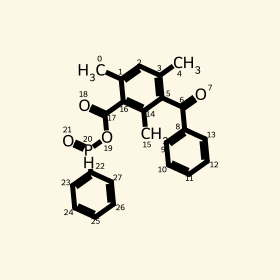 Cc1cc(C)c(C(=O)c2ccccc2)c(C)c1C(=O)O[PH](=O)c1ccccc1